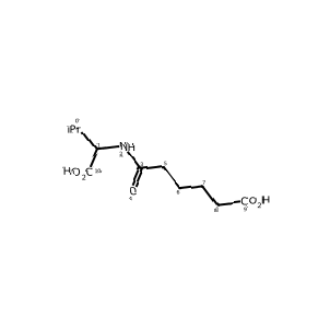 CC(C)C(NC(=O)CCCCC(=O)O)C(=O)O